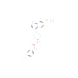 COc1cc2nccc(C3CCC4(CC3)C[C@H]4C(=O)Nc3ccc(Cl)cc3)c2cc1F